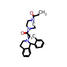 C=CC(=O)N1CCN(C(=O)CN2CCc3ccccc3C2c2ccccc2C)CC1